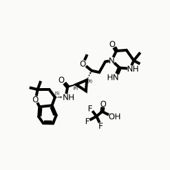 COC(CCN1C(=N)NC(C)(C)CC1=O)[C@@H]1C[C@H]1C(=O)N[C@H]1CC(C)(C)Oc2ccccc21.O=C(O)C(F)(F)F